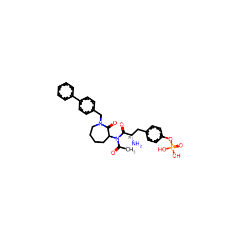 CC(=O)N(C(=O)[C@@H](N)Cc1ccc(OP(=O)(O)O)cc1)C1CCCCN(Cc2ccc(-c3ccccc3)cc2)C1=O